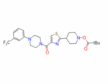 CC(C)(C)C(=O)ON1CCC(c2nc(C(=O)N3CCN(c4cccc(C(F)(F)F)c4)CC3)cs2)CC1